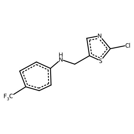 FC(F)(F)c1ccc(NCc2cnc(Cl)s2)cc1